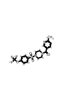 Cc1ccc(C(=O)N2CCN(S(=O)(=O)c3ccc(OC(F)(F)F)cc3)CC2)cn1